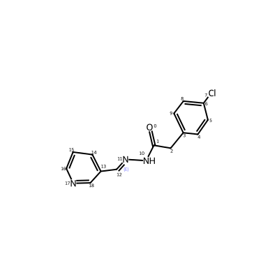 O=C(Cc1ccc(Cl)cc1)N/N=C/c1cccnc1